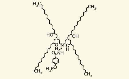 CCCCCCCCCCCCC(O)CN(CCN(CCNC(=O)c1ccc(OC)cc1)CCN(CC(O)CCCCCCCCCCCC)CC(O)CCCCCCCCCCCC)CC(O)CCCCCCCCCCCC